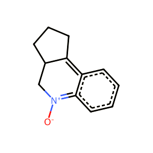 [O-][N+]1=c2ccccc2=C2CCCC2C1